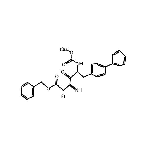 CC[C@@H](C(=N)C(=O)[C@H](Cc1ccc(-c2ccccc2)cc1)NC(=O)OC(C)(C)C)C(=O)OCc1ccccc1